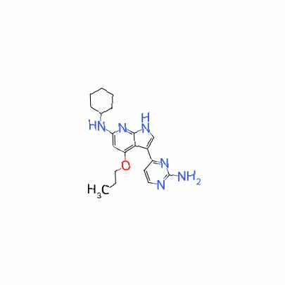 CCCOc1cc(NC2CCCCC2)nc2[nH]cc(-c3ccnc(N)n3)c12